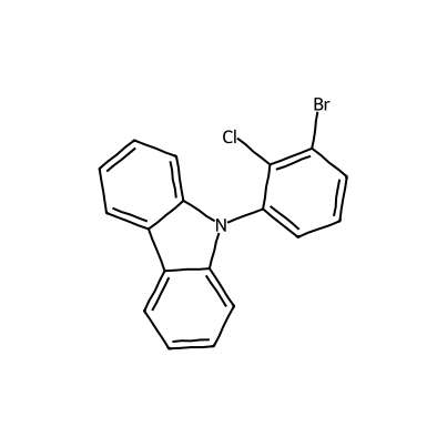 Clc1c(Br)cccc1-n1c2ccccc2c2ccccc21